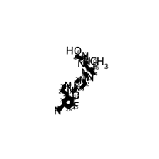 Cn1nc(CO)nc1-c1nc(N2CCN(C(=O)N3N=CCC3c3cc(F)cc(C#N)c3)CC2)ncc1F